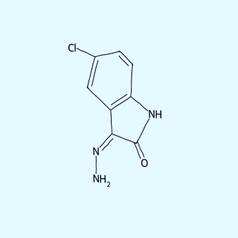 NN=C1C(=O)Nc2ccc(Cl)cc21